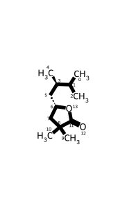 CC(C)[C@H](C)C[C@H]1CC(C)(C)C(=O)O1